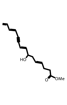 C=CC=CC#CC=CC(O)CC=CCCC(=O)OC